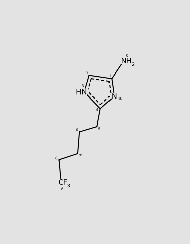 Nc1c[nH]c(CCCCC(F)(F)F)n1